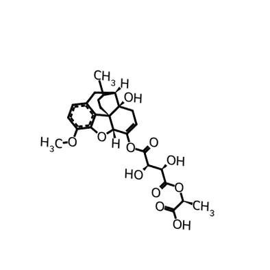 COc1ccc2c3c1O[C@H]1C(OC(=O)[C@H](O)[C@@H](O)C(=O)O[C@@H](C)C(=O)O)=CC[C@@]4(O)[C@@H](C2)C(C)CC[C@]314